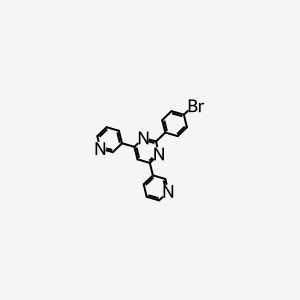 Brc1ccc(-c2nc(-c3cccnc3)cc(-c3cccnc3)n2)cc1